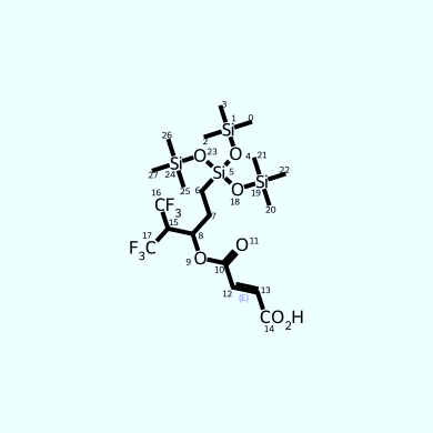 C[Si](C)(C)O[Si](CCC(OC(=O)/C=C/C(=O)O)C(C(F)(F)F)C(F)(F)F)(O[Si](C)(C)C)O[Si](C)(C)C